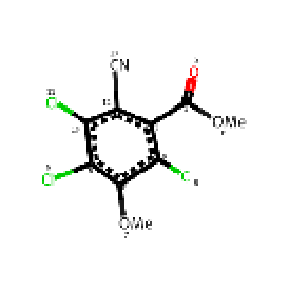 COC(=O)c1c(Cl)c(OC)c(Cl)c(Cl)c1C#N